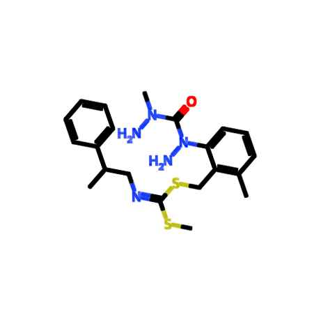 CSC(=NCC(C)c1ccccc1)SCc1c(C)cccc1N(N)C(=O)N(C)N